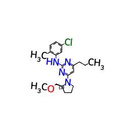 CCCc1cc(N2CCC[C@H]2COC)nc(Nc2cc(Cl)ccc2C)n1